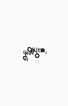 C1CC2CC1O2.COC(c1ccccc1)c1nc2cccc(NC(=O)c3cccnc3)c2o1